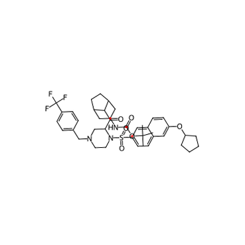 CC(C)(C)OC(=O)NC1CC2CCC(C1)C2C(=O)C1CN(Cc2ccc(C(F)(F)F)cc2)CCN1S(=O)(=O)c1ccc2cc(OC3CCCC3)ccc2c1